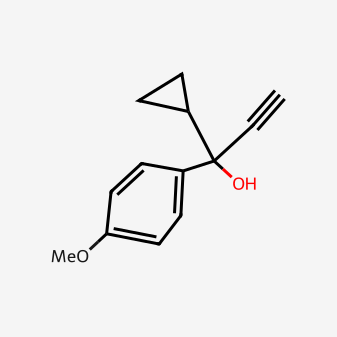 C#CC(O)(c1ccc(OC)cc1)C1CC1